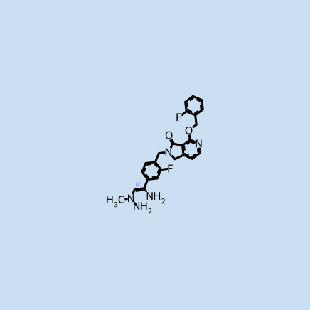 CN(N)/C=C(\N)c1ccc(CN2Cc3ccnc(OCc4ccccc4F)c3C2=O)c(F)c1